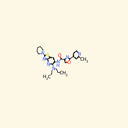 CCCN(CCC)c1nc2nc(N3CCCCC3)sc2cc1NC(=O)c1coc(-c2ccnc(C)c2)n1